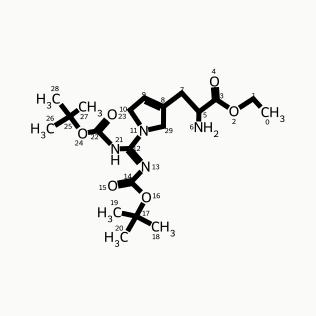 CCOC(=O)C(N)CC1=CCN(C(=NC(=O)OC(C)(C)C)NC(=O)OC(C)(C)C)C1